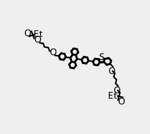 CCC1(COCCCCCOCc2ccc(-c3c4ccccc4c(-c4ccc(-c5ccc6c(c5)sc5ccc(COCCCCCOCC7(CC)COC7)cc56)cc4)c4ccccc34)cc2)COC1